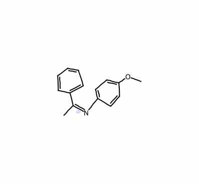 COc1ccc(/N=C(/C)c2ccccc2)cc1